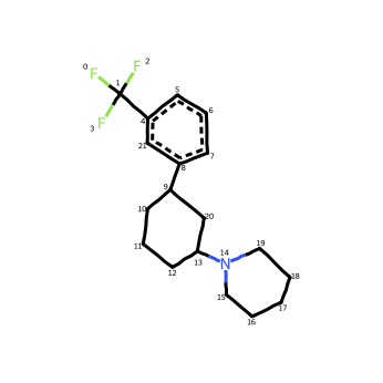 FC(F)(F)c1cccc(C2CCCC(N3CCCCC3)C2)c1